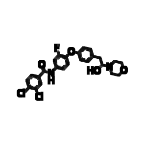 O=C(Nc1ccc(Oc2ccc(CC(O)N3CCOCC3)cc2)c(F)c1)c1ccc(Cl)c(Cl)c1